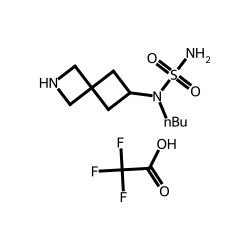 CCCCN(C1CC2(CNC2)C1)S(N)(=O)=O.O=C(O)C(F)(F)F